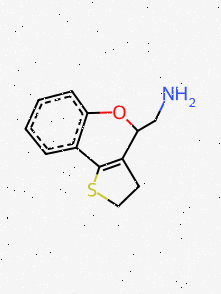 NCC1Oc2ccccc2C2=C1CCS2